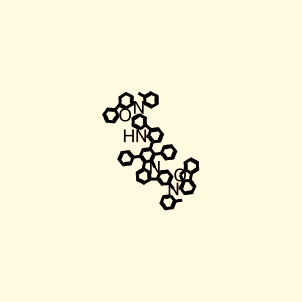 Cc1ccccc1N(C1=CCCc2c1oc1ccccc21)c1ccc2[nH]c3c(-c4cc(-c5ccccc5)c5c6cccc7c8cc(N(c9ccccc9C)c9cccc%10c9oc9ccccc9%10)ccc8n(c5c4-c4ccccc4)c76)cccc3c2c1